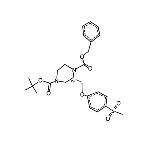 CC(C)(C)OC(=O)N1CCN(C(=O)OCc2ccccc2)[C@H](COc2ccc(S(C)(=O)=O)cc2)C1